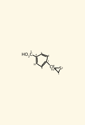 C1CS1.O=C(O)c1ccc(C(F)(F)F)cc1